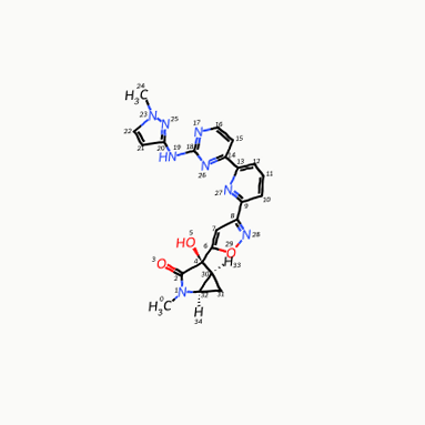 CN1C(=O)[C@](O)(c2cc(-c3cccc(-c4ccnc(Nc5ccn(C)n5)n4)n3)no2)[C@H]2C[C@H]21